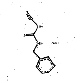 N#CNC(=S)NCc1ccccc1.[NaH]